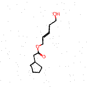 O=C(CC1CCCC1)OCC=CCCO